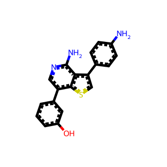 Nc1ccc(-c2csc3c(-c4cccc(O)c4)cnc(N)c23)cc1